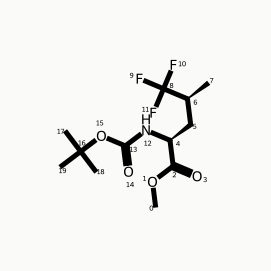 COC(=O)[C@H](C[C@H](C)C(F)(F)F)NC(=O)OC(C)(C)C